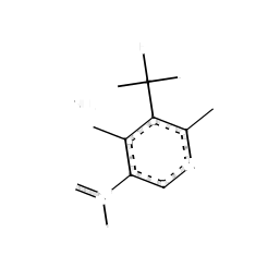 Cc1ncc([N+](=O)[O-])c(C)c1C(F)(F)F.N